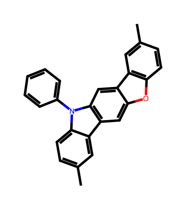 Cc1ccc2oc3cc4c5cc(C)ccc5n(-c5ccccc5)c4cc3c2c1